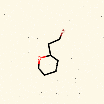 BrCCC1CCCCO1